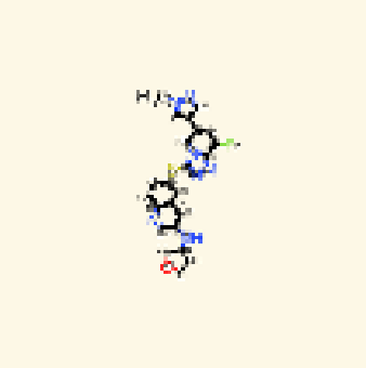 Cn1cc(-c2cc(F)c3nnc(Sc4ccc5ncc(NC6CCOC6)cc5c4)n3c2)cn1